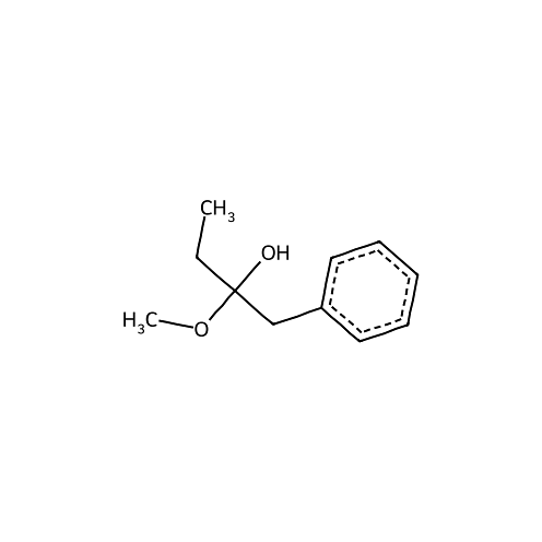 CCC(O)(Cc1ccccc1)OC